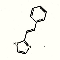 C(=Cc1ncc[nH]1)c1ccccc1